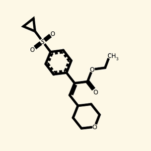 CCOC(=O)C(=CC1CCOCC1)c1ccc(S(=O)(=O)C2CC2)cc1